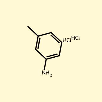 Cc1cccc(N)c1.Cl.Cl